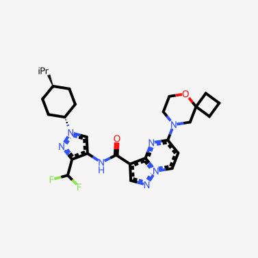 CC(C)[C@H]1CC[C@H](n2cc(NC(=O)c3cnn4ccc(N5CCOC6(CCC6)C5)nc34)c(C(F)F)n2)CC1